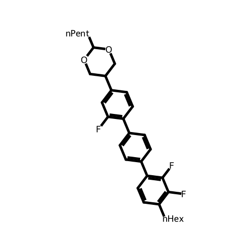 CCCCCCc1ccc(-c2ccc(-c3ccc(C4COC(CCCCC)OC4)cc3F)cc2)c(F)c1F